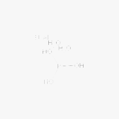 O.O.OP(O)O.[AlH3]